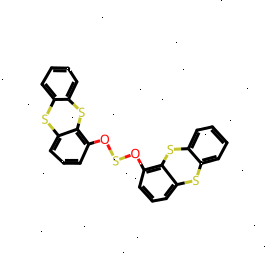 c1ccc2c(c1)Sc1cccc(OSOc3cccc4c3Sc3ccccc3S4)c1S2